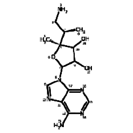 C[C@H](CN)[C@]1(C)OC(n2cnc3c(N)ncnc32)C(O)C1O